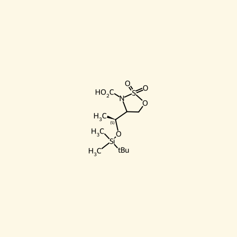 C[C@H](O[Si](C)(C)C(C)(C)C)C1COS(=O)(=O)N1C(=O)O